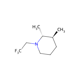 C[C@@H]1[C@@H](C)CCCN1CC(F)(F)F